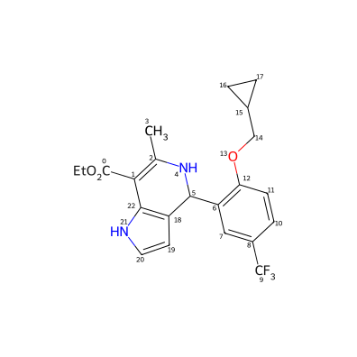 CCOC(=O)C1=C(C)NC(c2cc(C(F)(F)F)ccc2OCC2CC2)c2cc[nH]c21